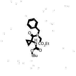 CCOC(=O)CN(Cc1ccccc1)C(=O)C1(NC(=O)OC(C)(C)C)CC1